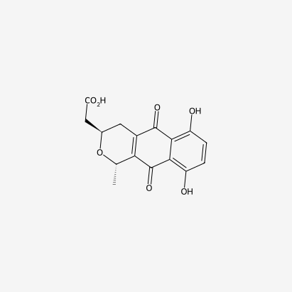 C[C@@H]1O[C@@H](CC(=O)O)CC2=C1C(=O)c1c(O)ccc(O)c1C2=O